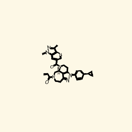 C=CC(=O)N1CCc2nn(-c3ccc(C4CC4)cc3)c3c2[C@@H](C1)N(C(=O)c1cnc2c(C)nn(C)c2c1)CC3